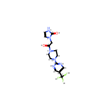 O=C(Cn1cc[nH]c1=O)N1CCN(c2ncc(C(F)(F)F)cn2)CC1